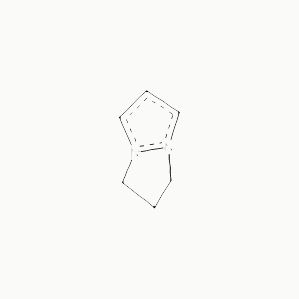 c1cn2[n+](c1)CCC2